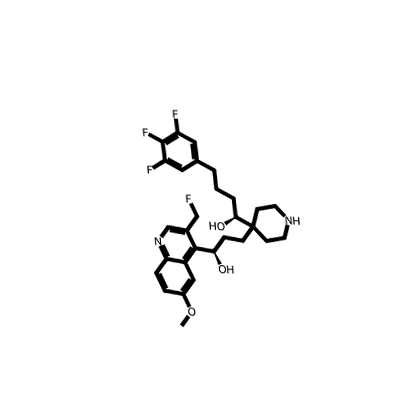 COc1ccc2ncc(CF)c([C@H](O)CCC3([C@@H](O)CCCc4cc(F)c(F)c(F)c4)CCNCC3)c2c1